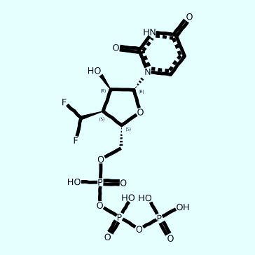 O=c1ccn([C@@H]2O[C@H](COP(=O)(O)OP(=O)(O)OP(=O)(O)O)[C@@H](C(F)F)[C@H]2O)c(=O)[nH]1